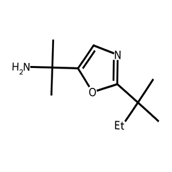 CCC(C)(C)c1ncc(C(C)(C)N)o1